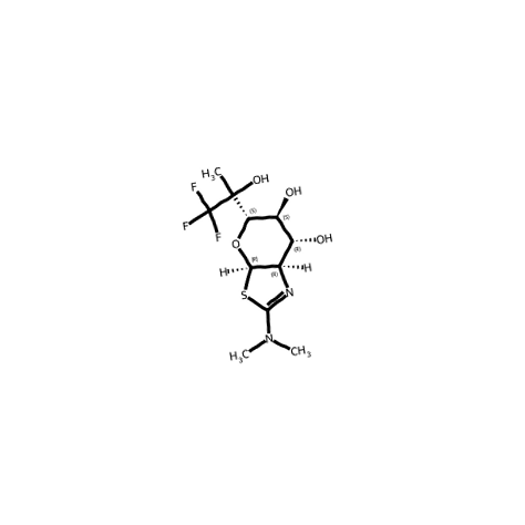 CN(C)C1=N[C@@H]2[C@@H](O)[C@H](O)[C@@H](C(C)(O)C(F)(F)F)O[C@@H]2S1